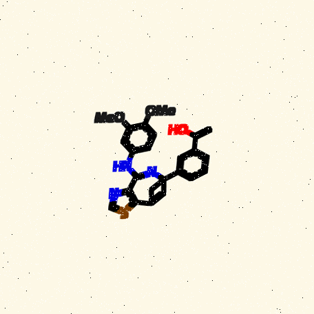 C=C(O)c1cccc(C23C=C(C2)c2scnc2C(Nc2ccc(OC)c(OC)c2)=N3)c1